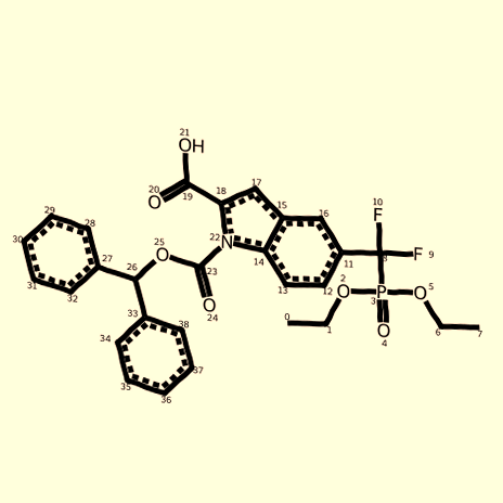 CCOP(=O)(OCC)C(F)(F)c1ccc2c(c1)cc(C(=O)O)n2C(=O)OC(c1ccccc1)c1ccccc1